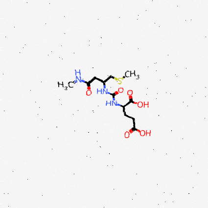 CNC(=O)CC(CSC)NC(=O)NC(CCC(=O)O)C(=O)O